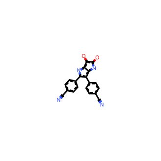 N#Cc1ccc(-c2nc3c(=O)c(=O)nc-3c2-c2ccc(C#N)cc2)cc1